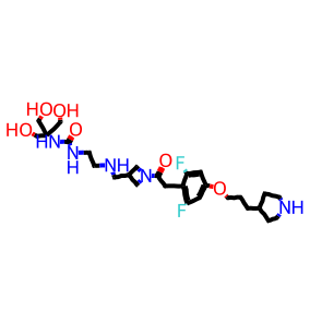 O=C(NCCNCC1CN(C(=O)Cc2c(F)cc(OCCCC3CCNCC3)cc2F)C1)NC(CO)(CO)CO